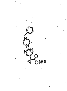 COC(=O)C1(c2cnc(N3CCN(Cc4ccccc4)CC3)nc2)CC1